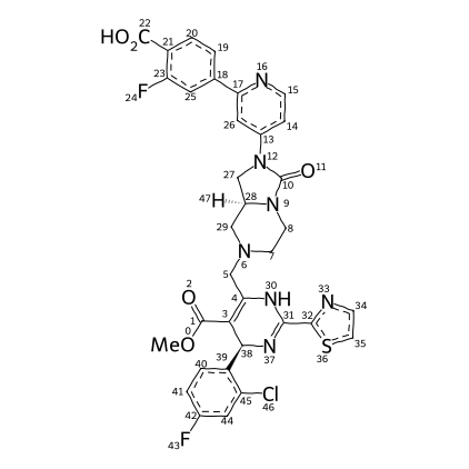 COC(=O)C1=C(CN2CCN3C(=O)N(c4ccnc(-c5ccc(C(=O)O)c(F)c5)c4)C[C@@H]3C2)NC(c2nccs2)=N[C@H]1c1ccc(F)cc1Cl